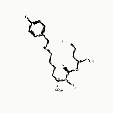 CN(C(=O)NC(CCC(=O)O)C(=O)O)[C@@H](CCCCNCc1ccc(F)cc1)C(=O)O